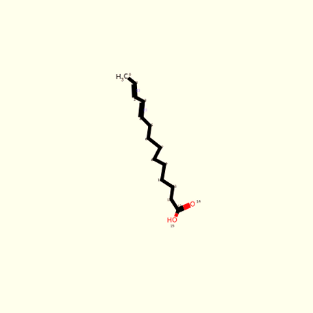 C/C=C/C=C/CCCCCCCCC(=O)O